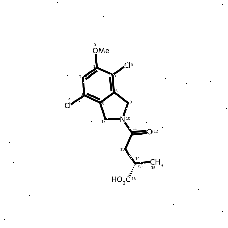 COc1cc(Cl)c2c(c1Cl)CN(C(=O)C[C@H](C)C(=O)O)C2